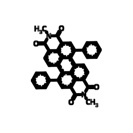 CN1C(=O)c2ccc3c4c(-c5ccccc5)cc5c6c(ccc(c7c(-c8ccccc8)cc(c2c37)C1=O)c64)C(=O)N(C)C5=O